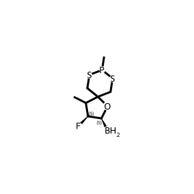 B[C@@H]1OC2(CSP(C)SC2)C(C)[C@@H]1F